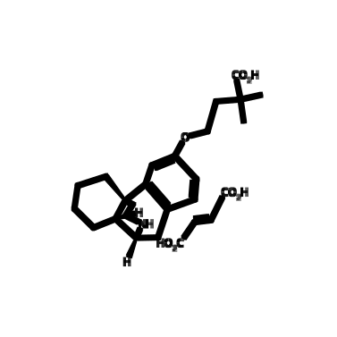 CC(C)(CCOc1ccc2c(c1)[C@@]13CCCC[C@H]1[C@@H](C2)NCC3)C(=O)O.O=C(O)/C=C/C(=O)O